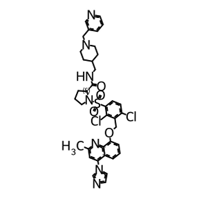 Cc1cc(-n2ccnc2)c2cccc(OCc3c(Cl)ccc(S(=O)(=O)N4CCC[C@H]4C(=O)NCC4CCN(Cc5cccnc5)CC4)c3Cl)c2n1